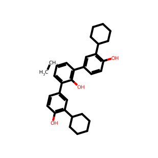 CC.Oc1ccc(-c2cccc(-c3ccc(O)c(C4CCCCC4)c3)c2O)cc1C1CCCCC1